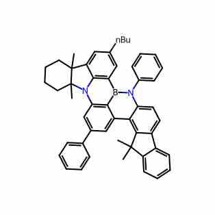 CCCCc1cc2c3c(c1)C1(C)CCCCC1(C)N3c1cc(-c3ccccc3)cc3c1B2N(c1ccccc1)c1ccc2c(c1-3)C(C)(C)c1ccccc1-2